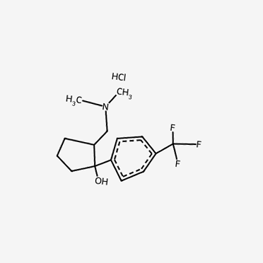 CN(C)CC1CCCC1(O)c1ccc(C(F)(F)F)cc1.Cl